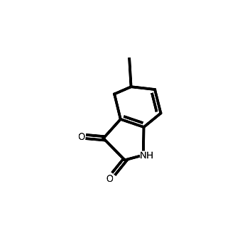 CC1C=CC2=C(C1)C(=O)C(=O)N2